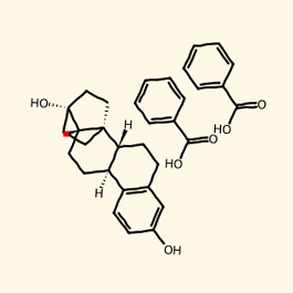 C[C@]12CC[C@@H]3c4ccc(O)cc4CC[C@H]3[C@]13CC[C@]2(O)CC3.O=C(O)c1ccccc1.O=C(O)c1ccccc1